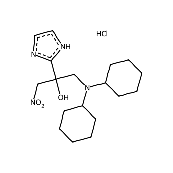 Cl.O=[N+]([O-])CC(O)(CN(C1CCCCC1)C1CCCCC1)c1ncc[nH]1